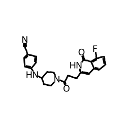 N#Cc1ccc(NC2CCN(C(=O)CCc3cc4cccc(F)c4c(=O)[nH]3)CC2)cc1